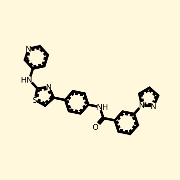 O=C(Nc1ccc(-c2csc(Nc3cccnc3)n2)cc1)c1cccc(-n2cccn2)c1